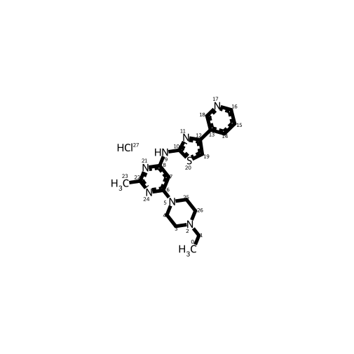 CCN1CCN(c2cc(Nc3nc(-c4cccnc4)cs3)nc(C)n2)CC1.Cl